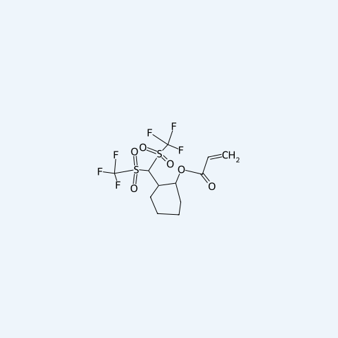 C=CC(=O)OC1CCCCC1C(S(=O)(=O)C(F)(F)F)S(=O)(=O)C(F)(F)F